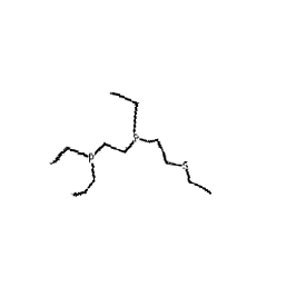 CCSCCP(CC)CCP(CC)CC